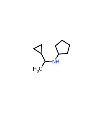 CC(NC1CCCC1)C1CC1